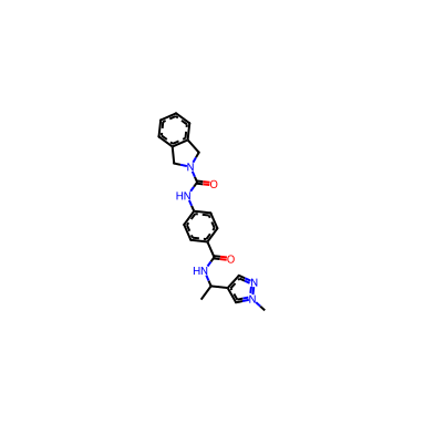 CC(NC(=O)c1ccc(NC(=O)N2Cc3ccccc3C2)cc1)c1cnn(C)c1